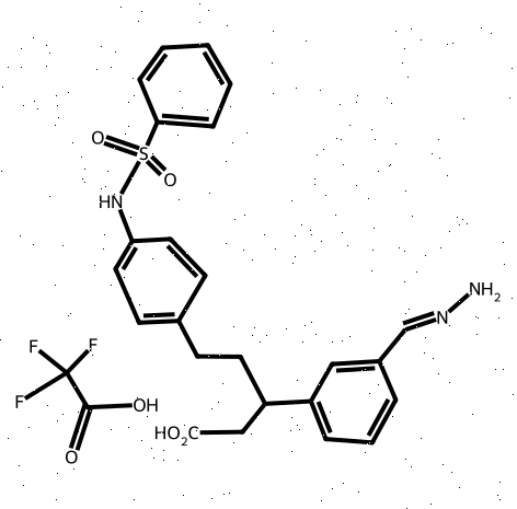 NN=Cc1cccc(C(CCc2ccc(NS(=O)(=O)c3ccccc3)cc2)CC(=O)O)c1.O=C(O)C(F)(F)F